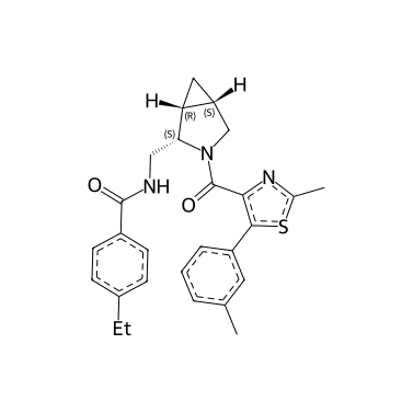 CCc1ccc(C(=O)NC[C@@H]2[C@@H]3C[C@@H]3CN2C(=O)c2nc(C)sc2-c2cccc(C)c2)cc1